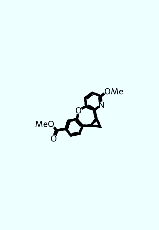 COC(=O)c1ccc2c(c1)Oc1ccc(OC)nc1C1CC21